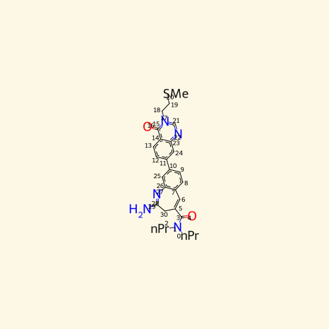 CCCN(CCC)C(=O)C1=Cc2ccc(-c3ccc4c(=O)n(CCSC)cnc4c3)cc2N=C(N)C1